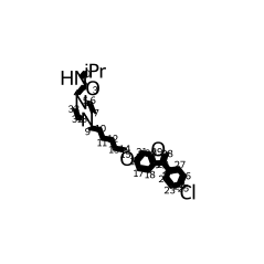 CC(C)NC(=O)CN1CCN(CCCCCCOc2ccc3c(-c4ccc(Cl)cc4)coc3c2)CC1